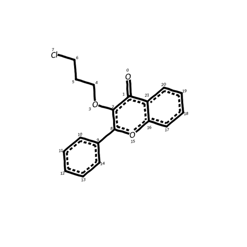 O=c1c(OCCCCl)c(-c2ccccc2)oc2ccccc12